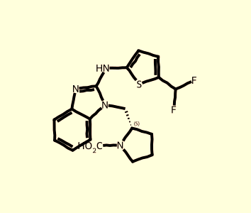 O=C(O)N1CCC[C@H]1Cn1c(Nc2ccc(C(F)F)s2)nc2ccccc21